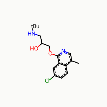 Cc1cnc(OCC(O)CNC(C)(C)C)c2cc(Cl)ccc12